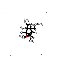 COC(=O)C1(C)C(C)(C(=O)OC)C2(Cl)C(Cl)=C(Cl)C1(Cl)C2(OC)OC